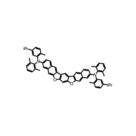 Cc1ccc(C(C)C)cc1N(c1ccc2cc3c(cc2c1)oc1cc2oc4cc5cc(N(c6cc(C(C)C)ccc6C)c6c(C)cccc6C)ccc5cc4c2cc13)c1c(C)cccc1C